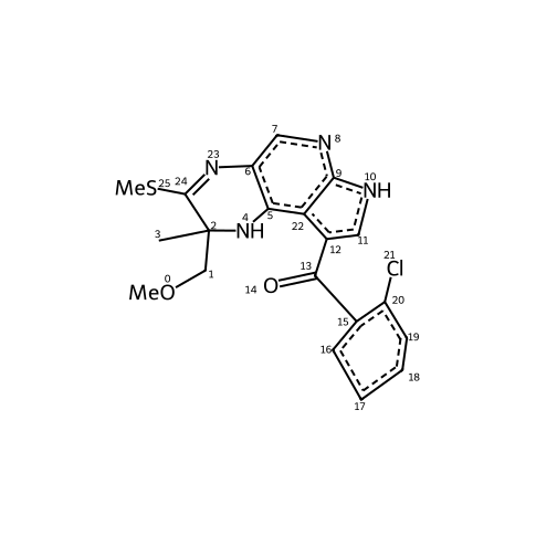 COCC1(C)Nc2c(cnc3[nH]cc(C(=O)c4ccccc4Cl)c23)N=C1SC